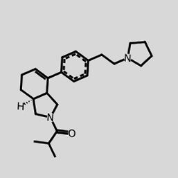 CC(C)C(=O)N1CC2C(c3ccc(CCN4CCCC4)cc3)=CCC[C@@H]2C1